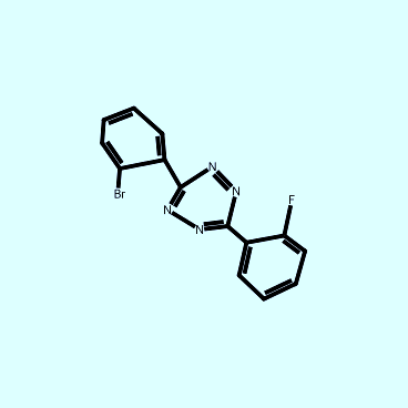 Fc1ccccc1-c1nnc(-c2ccccc2Br)nn1